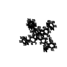 N#Cc1cc(-n2c3ccc(-c4ncccn4)cc3c3cc(-c4ncccn4)ccc32)c(-n2c3ccc(-c4ncccn4)cc3c3cc(-c4ncccn4)ccc32)cc1-c1c(F)cccc1F